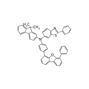 CC1(C)c2ccccc2-c2ccc(N(c3ccc(-c4cccc5c4oc4c(-c6ccccc6)cccc45)cc3)c3ccc4nc(-c5ccccc5)sc4c3)cc21